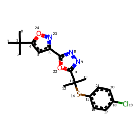 CC(C)(C)c1cc(-c2nnc(C(C)(C)Sc3ccc(Cl)cc3)o2)no1